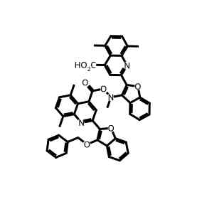 Cc1ccc(C)c2c(C(=O)O)cc(-c3oc4ccccc4c3N(C)OC(=O)c3cc(-c4oc5ccccc5c4OCc4ccccc4)nc4c(C)ccc(C)c34)nc12